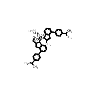 CCC1=Cc2c(-c3ccc(C(C)C)cc3)cccc2[CH]1[Zr]([CH3])([CH3])(=[SiH2])[CH]1C(C)=Cc2c(-c3ccc(C(C)C)cc3)cccc21.Cl.Cl